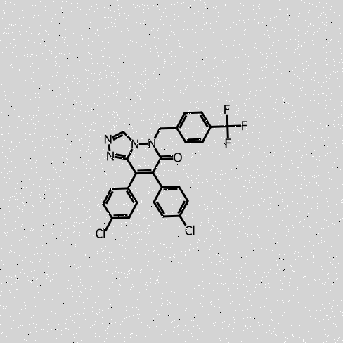 O=c1c(-c2ccc(Cl)cc2)c(-c2ccc(Cl)cc2)c2nncn2n1Cc1ccc(C(F)(F)F)cc1